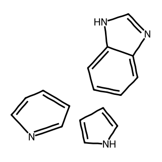 c1cc[nH]c1.c1ccc2[nH]cnc2c1.c1ccncc1